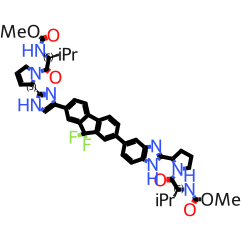 COC(=O)N[C@H](C(=O)N1CCCC1c1nc2cc(-c3ccc4c(c3)C(F)(F)c3cc(-c5c[nH]c([C@@H]6C=CCN6C(=O)[C@@H](NC(=O)OC)C(C)C)n5)ccc3-4)ccc2[nH]1)C(C)C